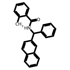 Cc1ccccc1C(=O)NC(c1ccccc1)c1ccc2ccccc2c1